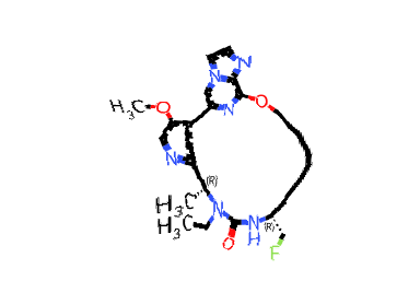 CCN1C(=O)N[C@@H](CF)CCCCCOc2nc(cn3ccnc23)-c2cc(ncc2OC)[C@H]1C